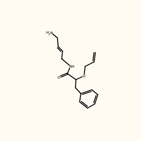 C=CCOC(Cc1ccccc1)C(=O)NCC=CCN